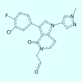 Cn1cc(-n2cc(-c3ccc(F)c(Cl)c3)c3c(=O)n(CC=O)ccc32)cn1